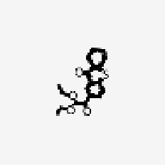 CCOC(OCC)C(=O)c1ccc2sc3ccccc3c(=O)c2c1